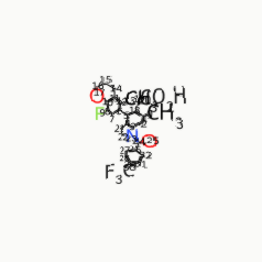 Cc1cc2c(c(-c3cc(F)c4c(c3C)CCCO4)c1CC(=O)O)CCN2C(=O)c1ccc(C(F)(F)F)cc1